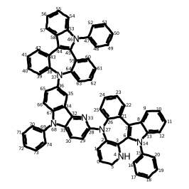 C1=CC2=C(NC1)c1c(c3ccccc3n1-c1ccccc1)-c1ccccc1N2c1ccc2c(n1)c1cc(N3c4ccccc4-c4c(n(-c5ccccc5)c5ccccc45)-c4ccccc43)ccc1n2-c1ccccc1